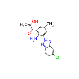 C=C(O)C(=O)c1cc(C)cc(-n2nc3ccc(Cl)cc3n2)c1N